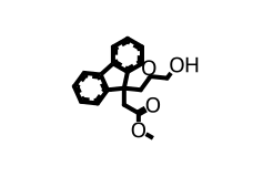 COC(=O)CC1(CC(=O)CO)c2ccccc2-c2ccccc21